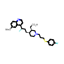 COc1ccc2nccc([C@H](F)CC[C@@H]3CCN(CCCSc4ccc(F)cc4)C[C@@H]3CC(=O)O)c2c1